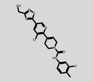 Cc1ccc(NC(=O)N2CC=C(c3ncc(-c4nc(CO)no4)cc3Cl)CC2)cc1Cl